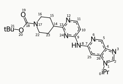 CC(C)n1cnc2cnc(Nc3ccnc(C4CCN(C(=O)OC(C)(C)C)CC4)n3)cc21